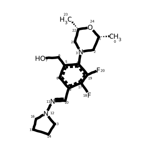 C[C@@H]1CN(c2c(CO)cc(C=NN3CCCC3)c(F)c2F)C[C@H](C)O1